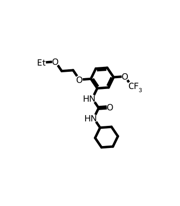 CCOCCOc1ccc(OC(F)(F)F)cc1NC(=O)NC1CCCCC1